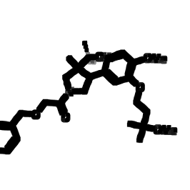 COc1ccc(C2CN(C(=O)COCc3ccccc3)CC2(C)[C@H](C)O)cc1OCCC(C)(C)OC